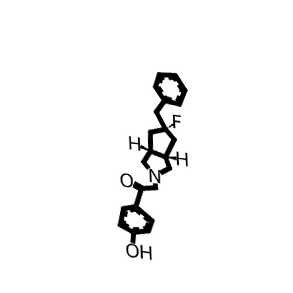 O=C(CN1C[C@@H]2C[C@@](F)(Cc3ccccc3)C[C@@H]2C1)c1ccc(O)cc1